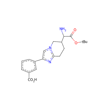 CC(C)(C)OC(=O)C(N)C1CCc2nc(-c3cccc(C(=O)O)c3)cn2C1